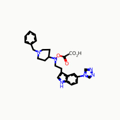 O=C(O)C(=O)ON(CCc1c[nH]c2ccc(-n3cnnc3)cc12)C1CCN(Cc2ccccc2)CC1